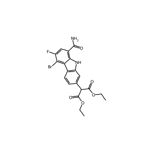 CCOC(=O)C(C(=O)OCC)c1ccc2c(c1)[nH]c1c(C(N)=O)cc(F)c(Br)c12